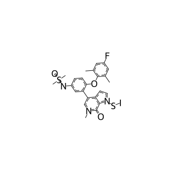 Cc1cc(F)cc(C)c1Oc1ccc(N=S(C)(C)=O)cc1-c1cn(C)c(=O)c2c1ccn2SI